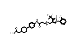 Cc1ccccc1-n1cc(CNCCC(=O)Nc2ccc(C3CCC(CC(=O)O)CC3)cc2)c(C(F)(F)F)n1